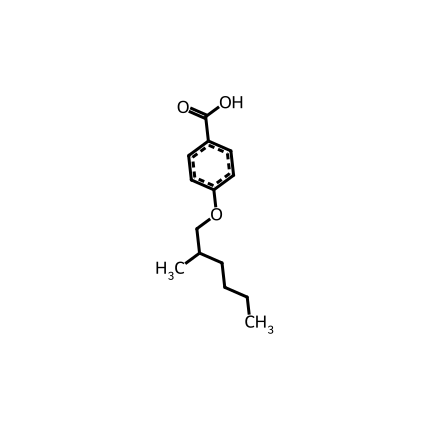 CCCCC(C)COc1ccc(C(=O)O)cc1